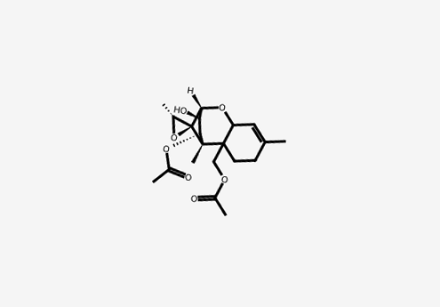 CC(=O)OCC12CCC(C)=CC1O[C@@H]1[C@H](O)[C@@H](OC(C)=O)[C@@]2(C)[C@@]12O[C@@H]2C